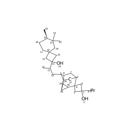 CC(C)C1(O)CC2(C1)C1CC3C(CC(C)C4(O)CC5(CC[C@@H](C)C(C)(C)C5)C4)C(C1)C1C3C12